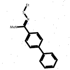 CCS/N=C(\NC)c1ccc(-c2ccccc2)cc1